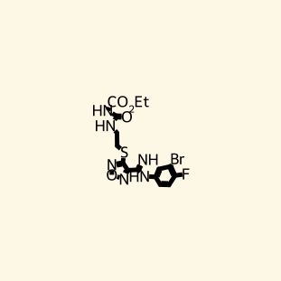 CCOC(=O)NC(=O)NCCSc1nonc1C(=N)Nc1ccc(F)c(Br)c1